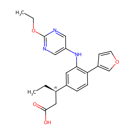 CCOc1ncc(Nc2cc([C@H](CC)CC(=O)O)ccc2-c2ccoc2)cn1